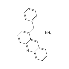 N.c1ccc(Cc2cccc3nc4ccccc4cc23)cc1